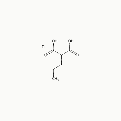 CCCC(C(=O)O)C(=O)O.[Ti]